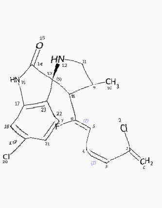 C=C(Cl)/C=C\C=C(/F)C1C(C)CN[C@@]12C(=O)Nc1cc(Cl)ccc12